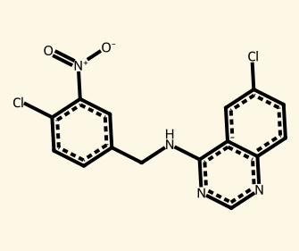 O=[N+]([O-])c1cc(CNc2ncnc3ccc(Cl)cc23)ccc1Cl